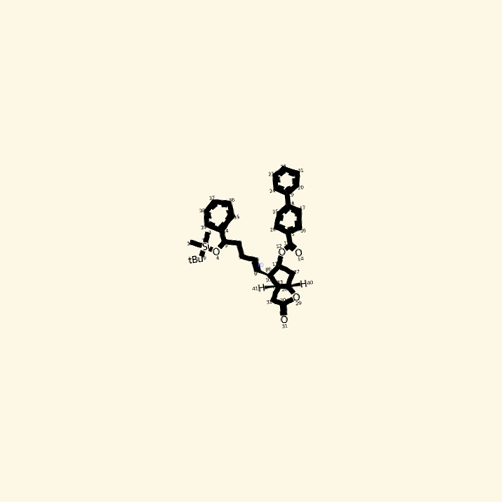 CC(C)(C)[Si](C)(C)OC(CC/C=C/[C@H]1C(OC(=O)c2ccc(-c3ccccc3)cc2)C[C@@H]2OC(=O)C[C@@H]21)c1ccccc1